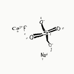 O=S(=O)([O-])[O-].[Ca+2].[F-].[Na+]